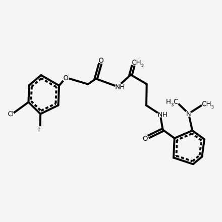 C=C(CCNC(=O)c1ccccc1N(C)C)NC(=O)COc1ccc(Cl)c(F)c1